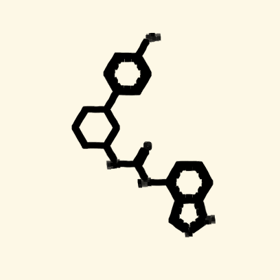 CC(C)(C)c1ccc(C2CCCC(NC(=O)Nc3cccc4[nH]ncc34)C2)cc1